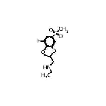 CCNCC1COc2c(F)cc(S(C)(=O)=O)cc2O1